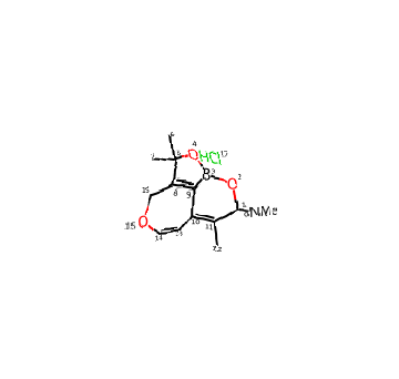 CNC1OB2OC(C)(C)C3=C2C(=C1C)C=COC3.Cl